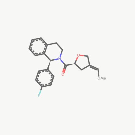 COC=C1CO[C@H](C(=O)N2CCc3ccccc3[C@@H]2c2ccc(F)cc2)C1